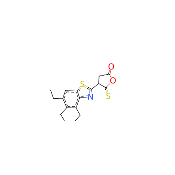 CCc1cc2sc(C3CC(=O)OC3=S)nc2c(CC)c1CC